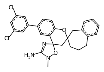 CN1OC2(CC3(CCCc4ccccc4C3)Oc3ccc(-c4cc(Cl)cc(Cl)c4)cc32)N=C1N